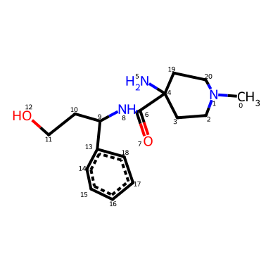 CN1CCC(N)(C(=O)NC(CCO)c2ccccc2)CC1